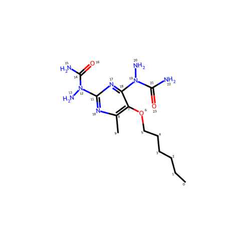 CCCCCCOc1c(C)nc(N(N)C(N)=O)nc1N(N)C(N)=O